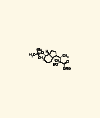 COC(=O)[C@H](O)[C@@H](C)[C@H]1CC[C@H]2[C@@H](O[Si](C)(C)C(C)(C)C)CCC[C@]12C